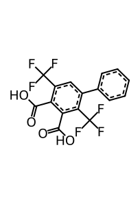 O=C(O)c1c(C(F)(F)F)cc(-c2ccccc2)c(C(F)(F)F)c1C(=O)O